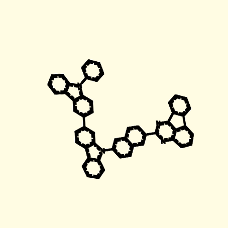 c1ccc(-n2c3ccccc3c3cc(-c4ccc5c6ccccc6n(-c6ccc7cc(-c8nc9c%10c(cccc%10n8)-c8ccccc8-9)ccc7c6)c5c4)ccc32)cc1